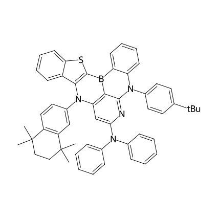 CC(C)(C)c1ccc(N2c3ccccc3B3c4sc5ccccc5c4N(c4ccc5c(c4)C(C)(C)CCC5(C)C)c4cc(N(c5ccccc5)c5ccccc5)nc2c43)cc1